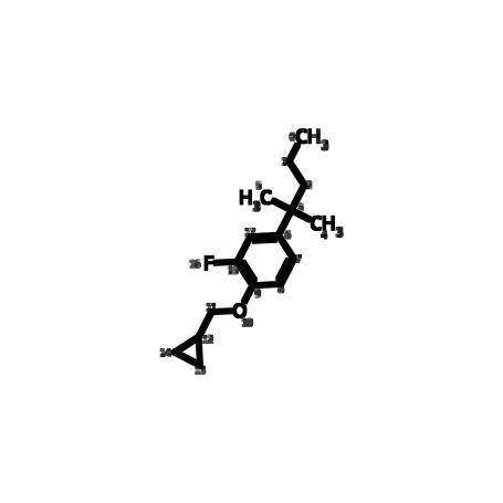 CCCC(C)(C)c1ccc(OCC2CC2)c(F)c1